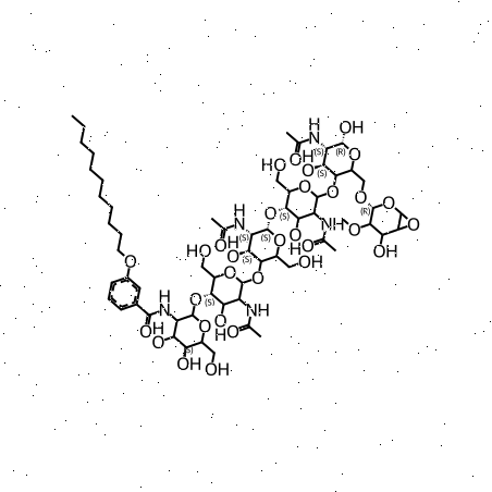 CCCCCCCCCCCOc1cccc(C(=O)NC2C(O[C@@H]3C(CO)OC(OC4C(CO)O[C@@H](O[C@@H]5C(CO)OC(OC6C(CO[C@@H]7OC8OC8C(O)C7OC)O[C@@H](O)[C@@H](NC(C)=O)[C@@H]6O)C(NC(C)=O)C5O)[C@@H](NC(C)=O)[C@@H]4O)C(NC(C)=O)C3O)OC(CO)[C@@H](O)C2O)c1